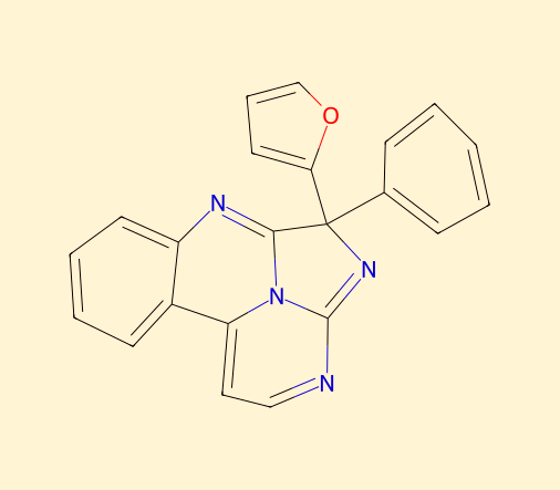 C1=NC2=NC(c3ccccc3)(c3ccco3)C3=Nc4ccccc4C(=C1)N23